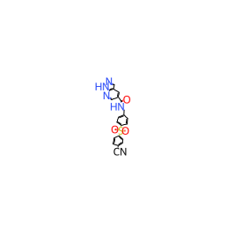 N#Cc1ccc(S(=O)(=O)c2ccc(CNC(=O)c3cnc4[nH]ncc4c3)cc2)cc1